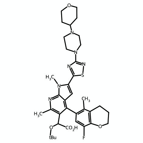 Cc1nc2c(cc(-c3nc(N4CCN(C5CCOCC5)CC4)ns3)n2C)c(-c2cc(F)c3c(c2C)CCCO3)c1C(OC(C)(C)C)C(=O)O